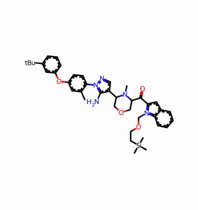 Cc1cc(Oc2cccc(C(C)(C)C)c2)ccc1-n1ncc(C2COCC(C(=O)c3cc4ccccc4n3COCC[Si](C)(C)C)N2C)c1N